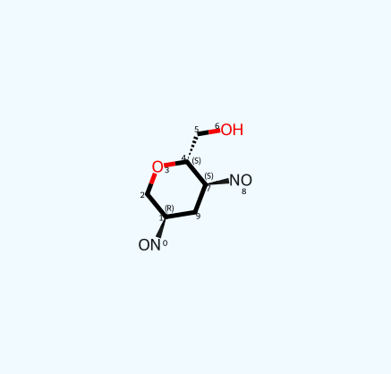 O=N[C@H]1CO[C@H](CO)[C@@H](N=O)C1